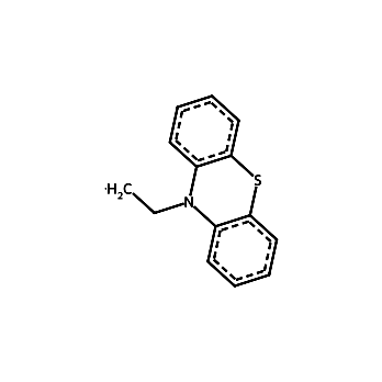 [CH2]CN1c2ccccc2Sc2ccccc21